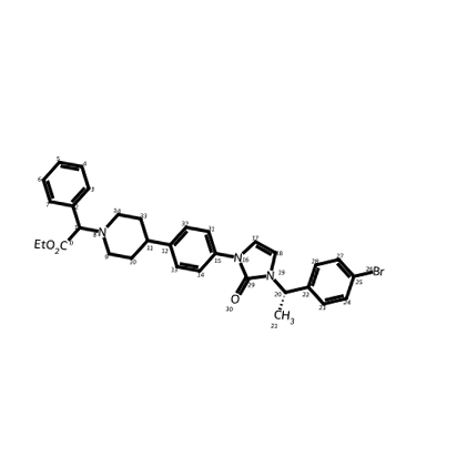 CCOC(=O)C(c1ccccc1)N1CCC(c2ccc(-n3ccn([C@@H](C)c4ccc(Br)cc4)c3=O)cc2)CC1